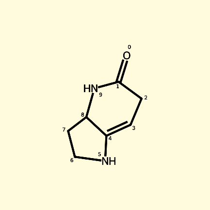 O=C1CC=C2NCCC2N1